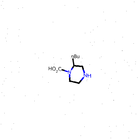 CCCCC1CNCCN1C(=O)O